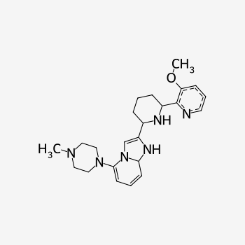 COc1cccnc1C1CCCC(C2=CN3C(N4CCN(C)CC4)=CC=CC3N2)N1